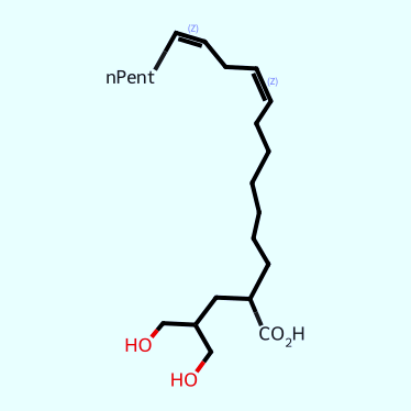 CCCCC/C=C\C/C=C\CCCCCCC(CC(CO)CO)C(=O)O